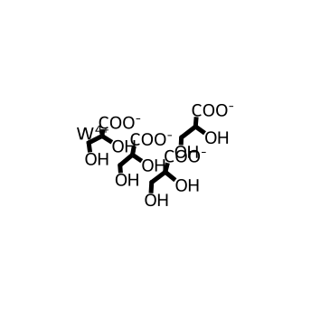 O=C([O-])C(O)CO.O=C([O-])C(O)CO.O=C([O-])C(O)CO.O=C([O-])C(O)CO.[W+4]